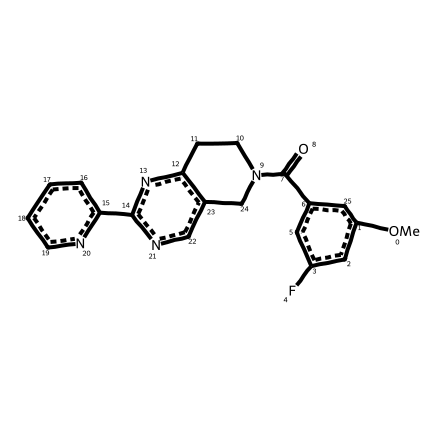 COc1cc(F)cc(C(=O)N2CCc3nc(-c4ccccn4)ncc3C2)c1